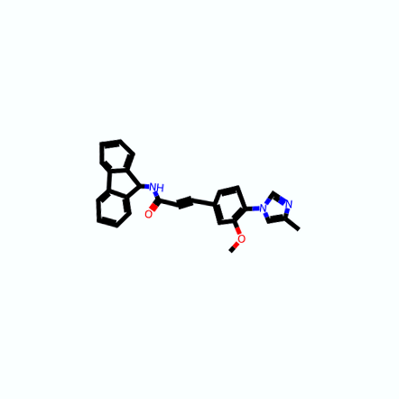 COc1cc(C#CC(=O)NC2c3ccccc3-c3ccccc32)ccc1-n1cnc(C)c1